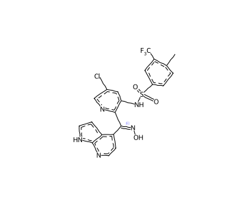 Cc1ccc(S(=O)(=O)Nc2cc(Cl)cnc2/C(=N/O)c2ccnc3[nH]ccc23)cc1C(F)(F)F